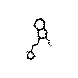 CC(C)Oc1nc2ccccc2nc1CCc1nccs1